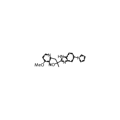 COc1ccnc(CC(C)(O)c2nc3cc(-n4cccc4)ccc3[nH]2)c1C